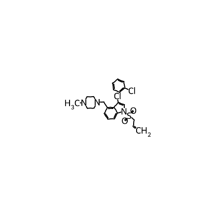 C=CCS(=O)(=O)n1cc(Cl)c2c(CN3CCN(C)CC3)cccc21.Clc1ccccc1